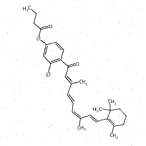 CCCC(=O)Oc1ccc(C(=O)/C=C(C)/C=C/C=C(C)C=CC2=C(C)CCCC2(C)C)c(Cl)c1